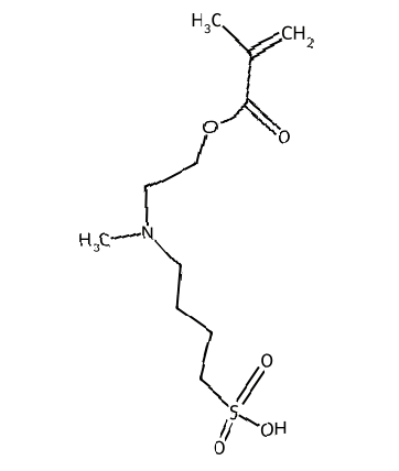 C=C(C)C(=O)OCCN(C)CCCCS(=O)(=O)O